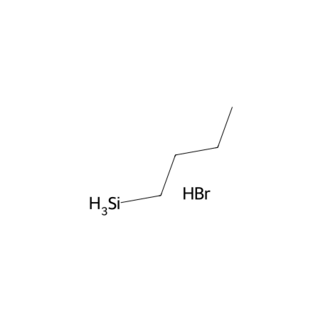 Br.CCCC[SiH3]